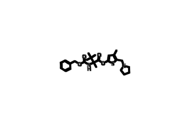 Cc1cc(OC(=O)C(C)(NC(=O)OCc2ccccc2)C(C)(C)C)sc1CN1CCCC1